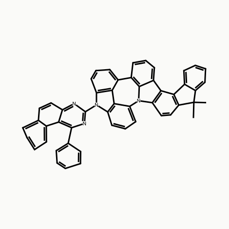 CC1(C)c2ccccc2-c2c1ccc1c2c2cccc3c4cccc5c4c4c(cccc4n1c32)n5-c1nc(-c2ccccc2)c2c(ccc3ccccc32)n1